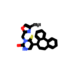 O=C(O)c1coc(Cn2c(=O)[nH]cc(C3C=Cc4ccccc4-c4ccccc43)c2=S)n1